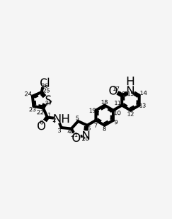 O=C(NCC1CC(c2ccc(-c3ccc[nH]c3=O)cc2)=NO1)c1ccc(Cl)s1